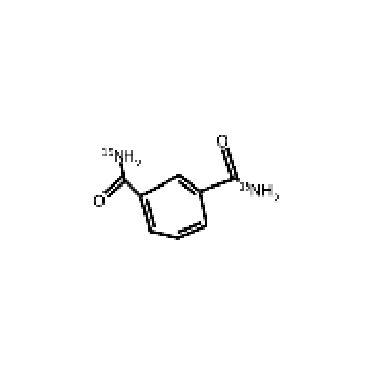 [15NH2]C(=O)c1cccc(C([15NH2])=O)c1